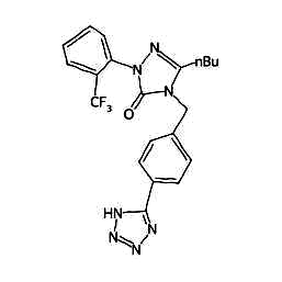 CCCCc1nn(-c2ccccc2C(F)(F)F)c(=O)n1Cc1ccc(-c2nnn[nH]2)cc1